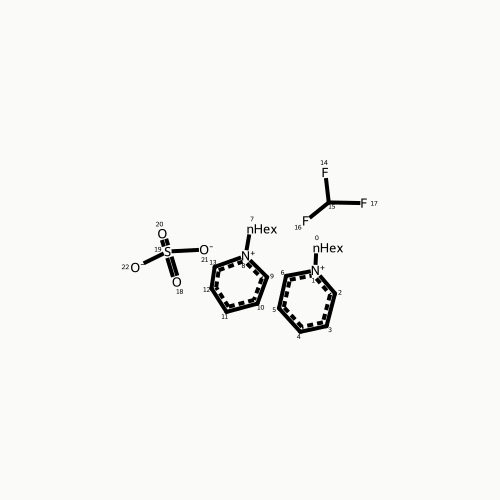 CCCCCC[n+]1ccccc1.CCCCCC[n+]1ccccc1.FC(F)F.O=S(=O)([O-])[O-]